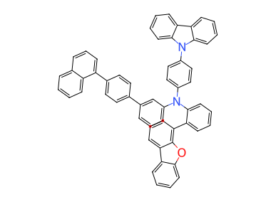 c1cc(-c2ccc(-c3cccc4ccccc34)cc2)cc(N(c2ccc(-n3c4ccccc4c4ccccc43)cc2)c2ccccc2-c2cccc3c2oc2ccccc23)c1